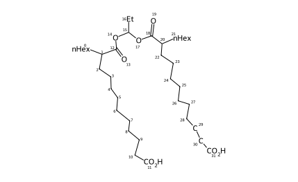 CCCCCCC(CCCCCCCCCC(=O)O)C(=O)OC(CC)OC(=O)C(CCCCCC)CCCCCCCCCC(=O)O